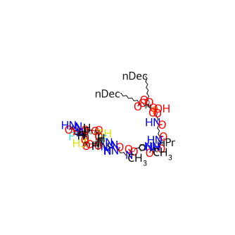 CCCCCCCCCCCCCCCCCC(=O)OC[C@H](COP(=O)(O)OCCNC(=O)CCCC(=O)N[C@H](C(=O)N[C@@H](C)C(=O)Nc1ccc(COC(=O)N(C)CCCC(=O)Nc2ncnc3c2ncn3[C@@H]2O[C@@H]3CO[P@@](=O)(S)O[C@@H]4[C@H](O)[C@@H](CO[P@@](=O)(S)O[C@H]3[C@H]2F)O[C@H]4n2cc(F)c3c(=O)[nH]cnc32)cc1)C(C)C)OC(=O)CCCCCCCCCCCCCCCCC